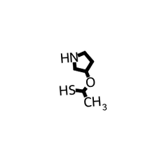 CC(S)OC1CCNC1